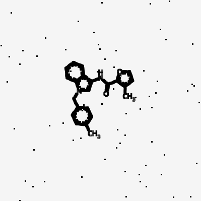 Cc1ccc(Cn2cc(NC(=O)c3occc3C)c3ccccc32)cc1